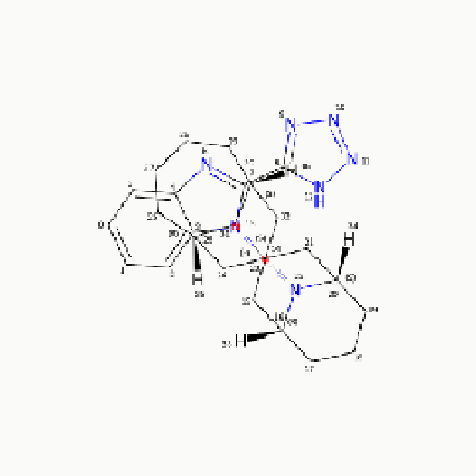 c1ccc2c(c1)nc(-c1nnn[nH]1)n2[C@H]1C[C@H]2CCC[C@@H](C1)N2[C@@H]1C[C@@H]2CCCC[C@@H](C2)C1